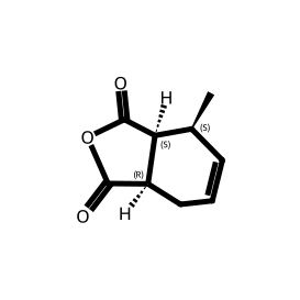 C[C@H]1C=CC[C@H]2C(=O)OC(=O)[C@@H]12